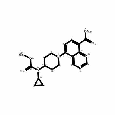 COC(=O)c1ccc(N2CCC(N(C(=O)OC(C)(C)C)C3CC3)CC2)c2cncnc12